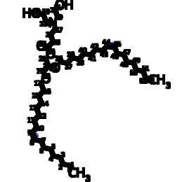 CCCCCCCC/C=C\CCCCCCCCOCC(COC(=O)CCCN(CCO)CCO)OCCCCCCCC/C=C\CCCCCCCC